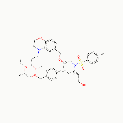 CCOC(C)COCc1ccc([C@H]2C[C@H](CCO)N(S(=O)(=O)c3ccc(C)cc3)C[C@@H]2OCc2ccc3c(c2)N(CCCOC)CCO3)cc1